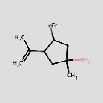 BC1(C)CC(CCC)C(C(=C)C)C1